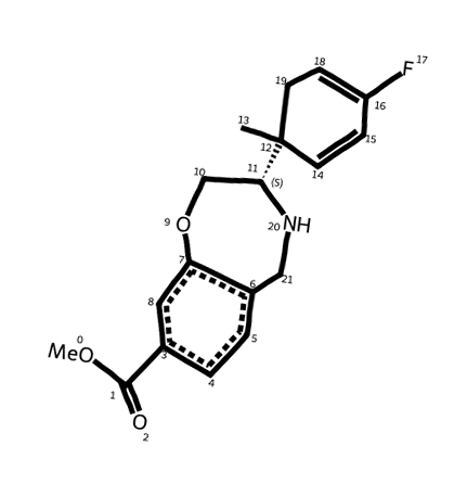 COC(=O)c1ccc2c(c1)OC[C@H](C1(C)C=CC(F)=CC1)NC2